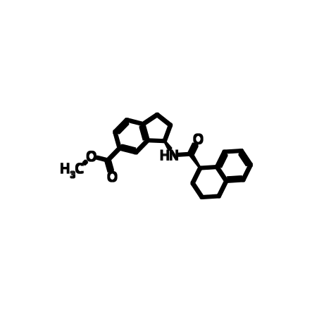 COC(=O)c1ccc2c(c1)[C@H](NC(=O)[C@@H]1CCCc3ccccc31)CC2